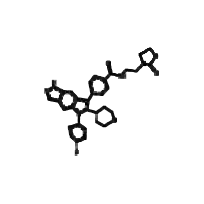 O=C(NCCN1CCOC1=O)c1ccc(-c2c(C3CCOCC3)n(-c3ccc(F)cc3)c3cc4cn[nH]c4cc23)cc1